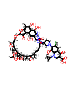 COc1c(N2CCC(N/N=C/c3c4c(O)c5c(O)c(C)c6c(c5c3O)C(=O)[C@@](C)(O/C=C/[C@H](OC)[C@@H](C)[C@@H](OC(C)=O)[C@H](C)[C@H](O)[C@H](C)[C@@H](O)[C@@H](C)/C=C/C=C(/C)C(=O)N4)O6)C2)c(F)cc2c(=O)c(C(=O)O)cn(C3CC3)c12